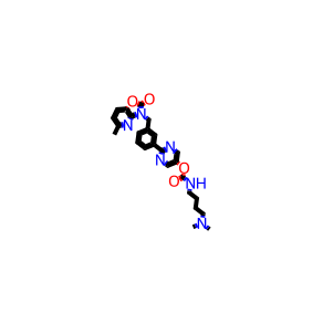 Cc1ccc2oc(=O)n(Cc3cccc(-c4ncc(OC(=O)NCCCCN(C)C)cn4)c3)c2n1